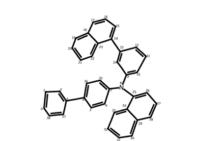 c1ccc(-c2ccc(N(c3cccc(-c4cccc5ccccc45)c3)c3cccc4ccccc34)cc2)cc1